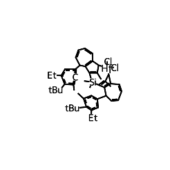 CCc1cc(C2C=CC=CC3=C2C2=C(C)[CH]3[Hf]([Cl])([Cl])[CH]3C(C)=C(C4=C3C=CC=CC4c3cc(C)c(C(C)(C)C)c(CC)c3)[Si]2(C)C)cc(C)c1C(C)(C)C